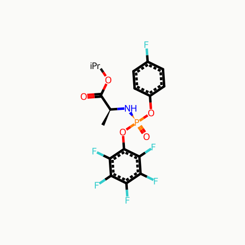 CC(C)OC(=O)[C@H](C)N[P@](=O)(Oc1ccc(F)cc1)Oc1c(F)c(F)c(F)c(F)c1F